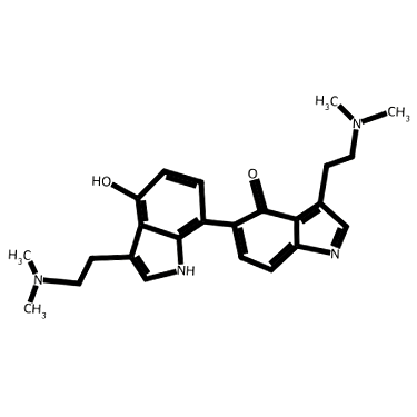 CN(C)CCC1=C2C(=O)C(c3ccc(O)c4c(CCN(C)C)c[nH]c34)=CC=C2N=C1